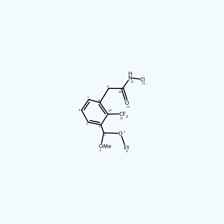 CCOC(OC)c1cccc(CC(=O)NCl)c1C(F)(F)F